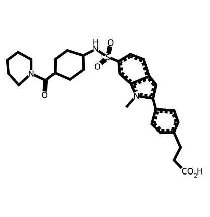 Cn1c(-c2ccc(CCC(=O)O)cc2)cc2ccc(S(=O)(=O)NC3CCC(C(=O)N4CCCCC4)CC3)cc21